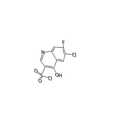 O=S(=O)(Cl)c1cnc2cc(F)c(Cl)cc2c1O